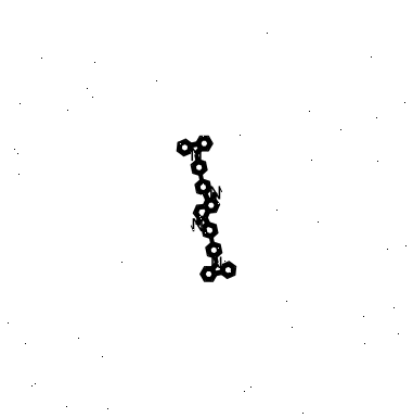 Cn1c2cc(-c3ccc(-n4c5ccccc5c5ccccc54)cc3)ccc2c2c3ccc4c(c3ccc21)c1ccc(-c2ccc(-n3c5ccccc5c5ccccc53)cc2)cc1n4C